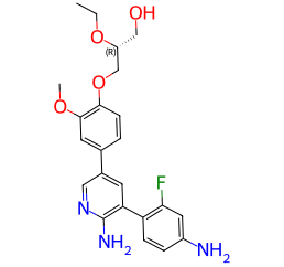 CCO[C@H](CO)COc1ccc(-c2cnc(N)c(-c3ccc(N)cc3F)c2)cc1OC